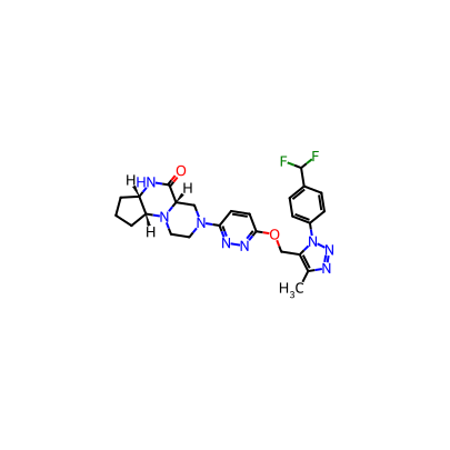 Cc1nnn(-c2ccc(C(F)F)cc2)c1COc1ccc(N2CCN3[C@@H]4CCC[C@@H]4NC(=O)[C@@H]3C2)nn1